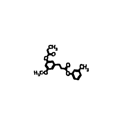 CCC(=O)Oc1cc(CCC(=O)Oc2cccc(C)c2)cc(OC)c1